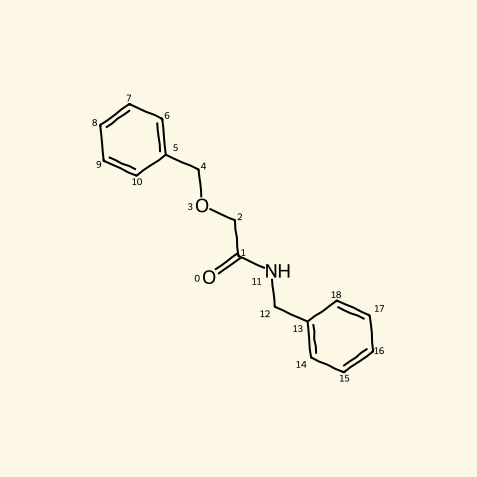 O=C(COCc1ccccc1)NCc1ccccc1